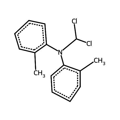 Cc1ccccc1N(c1ccccc1C)C(Cl)Cl